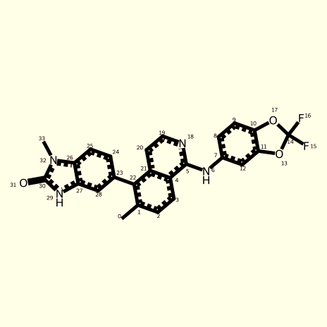 Cc1ccc2c(Nc3ccc4c(c3)OC(F)(F)O4)nccc2c1-c1ccc2c(c1)[nH]c(=O)n2C